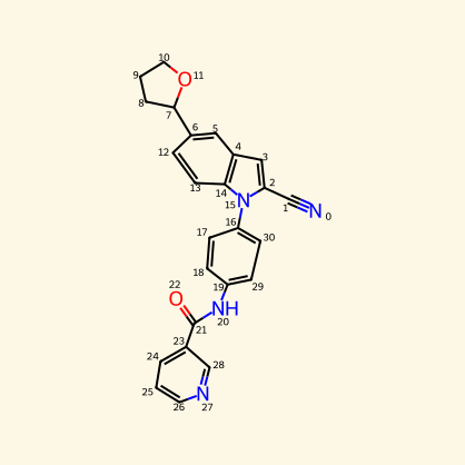 N#Cc1cc2cc(C3CCCO3)ccc2n1-c1ccc(NC(=O)c2cccnc2)cc1